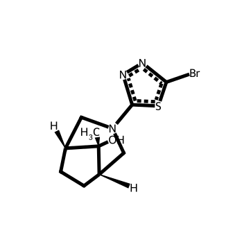 C[C@]1(O)[C@@H]2CC[C@H]1CN(c1nnc(Br)s1)C2